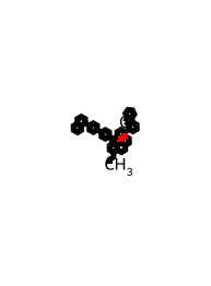 CCCc1ccc(N(c2ccc(-c3ccc(-c4cccc5ccccc45)cc3)cc2)c2ccc(-c3cccc4c3oc3ccccc34)cc2)c2c1ccc1ccccc12